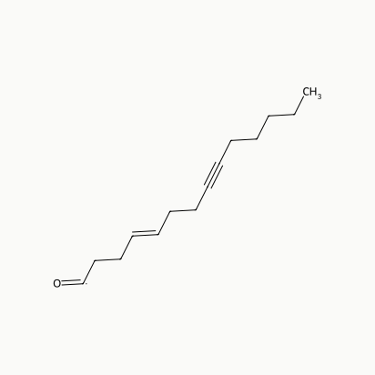 CCCCCC#CCC/C=C/CC[C]=O